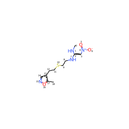 CNC(=C[N+](=O)[O-])NCCSCCc1cnoc1C